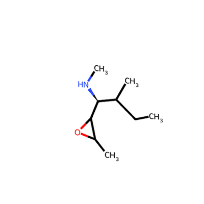 CCC(C)[C@H](NC)C1OC1C